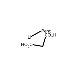 O=C(O)CC(=O)O.[Li][CH](C)CCC